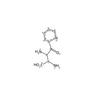 NC(C(=O)O)C(N)C(=O)c1ccccn1